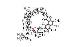 CO[C@H]1/C=C/O[C@@]2(C)Oc3c(C)c(O)c4c(O)c(c(/C=N/N5CC[N+](C)(CC#C[Si](C)(C)C)CC5)c([O-])c4c3C2=O)NC(=O)/C(C)=C\C=C\[C@H](C)[C@H](O)[C@@H](C)[C@@H](O)[C@@H](C)[C@H](OC(C)=O)[C@@H]1C